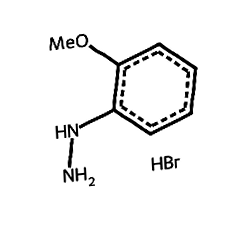 Br.COc1ccccc1NN